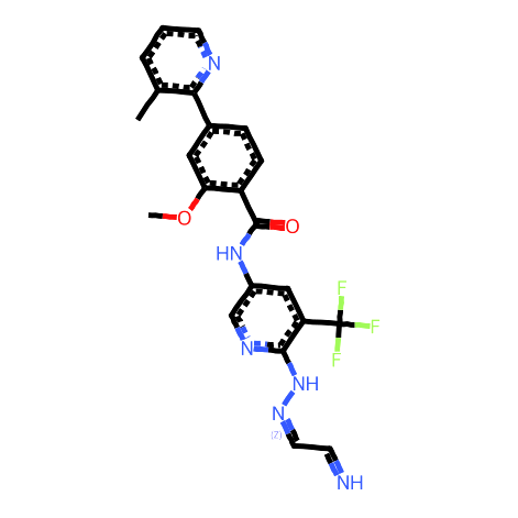 COc1cc(-c2ncccc2C)ccc1C(=O)Nc1cnc(N/N=C\C=N)c(C(F)(F)F)c1